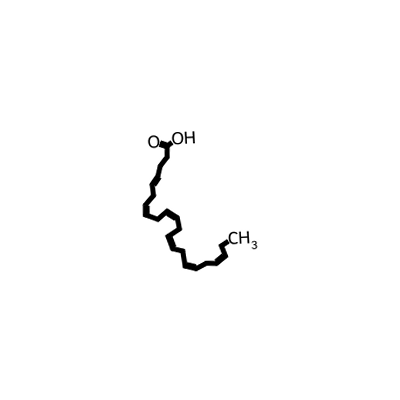 CC/C=C\C/C=C\C/C=C\C/C=C\C/C=C\CC=CCCC(=O)O